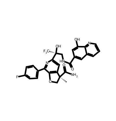 C[C@]1(C(N)=O)COc2c1cc([C@@](O)(CNC(=O)c1cc(O)c3ncccc3c1)C(F)(F)F)nc2-c1ccc(F)cc1